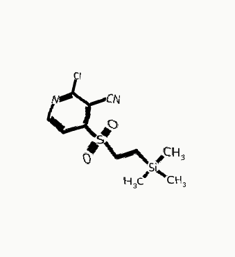 C[Si](C)(C)CCS(=O)(=O)c1ccnc(Cl)c1C#N